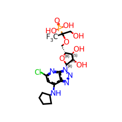 O=P(O)(O)C(CO)(OC[C@H]1O[C@@H](n2nnc3c(NC4CCCC4)cc(Cl)nc32)[C@H](O)[C@@H]1O)C(F)(F)F